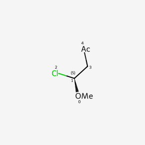 CO[C@@H](Cl)CC(C)=O